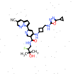 CC(C)(O)C(F)CNC(=O)c1cnc(-c2ccc3cc(C#N)cnn23)cc1NC1CC(CNc2nnc(C3CC3)o2)C1